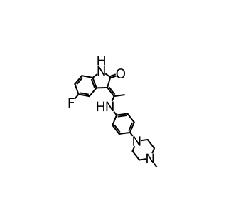 CC(Nc1ccc(N2CCN(C)CC2)cc1)=C1C(=O)Nc2ccc(F)cc21